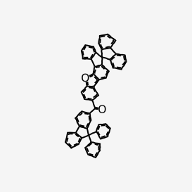 O=C(c1ccc2c(c1)C(c1ccccc1)(c1ccccc1)c1ccccc1-2)c1ccc2oc3c4c(ccc3c2c1)C1(c2ccccc2-c2ccccc21)c1ccccc1-4